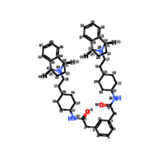 O=C(Cc1cccc(CC(=O)NC2CCC(CCN3[C@@H]4CC[C@H]3c3ccccc34)CC2)c1)NC1CCC(CCN2[C@@H]3CC[C@H]2c2ccccc23)CC1